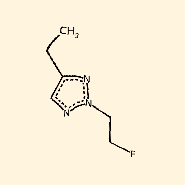 CCc1cnn(CCF)n1